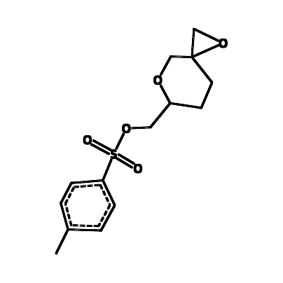 Cc1ccc(S(=O)(=O)OCC2CCC3(CO2)CO3)cc1